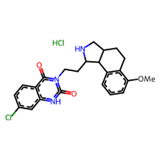 COc1cccc2c1CCC1CNC(CCn3c(=O)[nH]c4cc(Cl)ccc4c3=O)C21.Cl